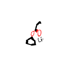 C=CC(=O)Oc1ccccc1.[Li]